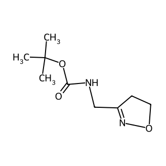 CC(C)(C)OC(=O)NCC1=NOCC1